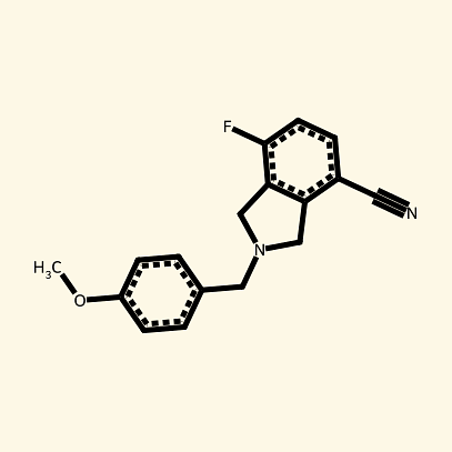 COc1ccc(CN2Cc3c(F)ccc(C#N)c3C2)cc1